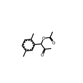 CC(=O)OC(C(C)=O)c1cc(C)ccc1C